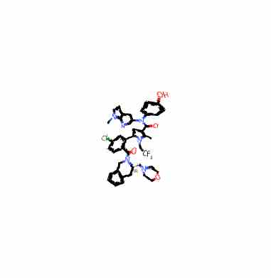 Cc1c(C(=O)N(c2ccc(O)cc2)c2cnc3c(ccn3C)c2)cc(-c2cc(Cl)ccc2C(=O)N2Cc3ccccc3C[C@H]2CN2CCOCC2)n1CC(F)(F)F